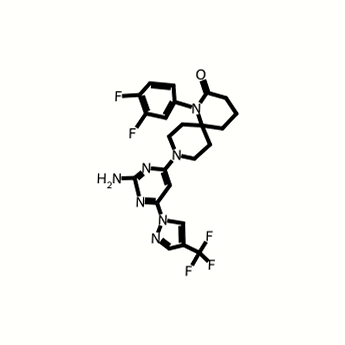 Nc1nc(N2CCC3(CCCC(=O)N3c3ccc(F)c(F)c3)CC2)cc(-n2cc(C(F)(F)F)cn2)n1